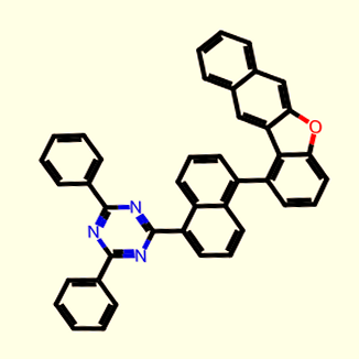 c1ccc(-c2nc(-c3ccccc3)nc(-c3cccc4c(-c5cccc6oc7cc8ccccc8cc7c56)cccc34)n2)cc1